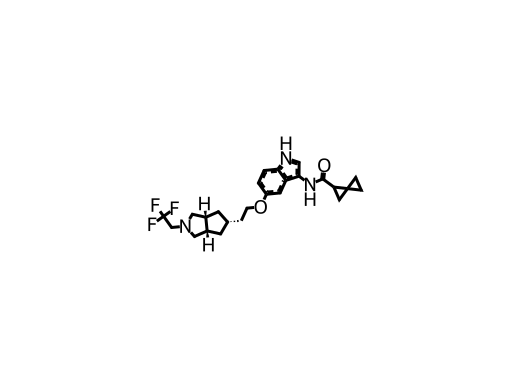 O=C(Nc1c[nH]c2ccc(OCC[C@@H]3C[C@@H]4CN(CC(F)(F)F)C[C@@H]4C3)cc12)C1CC12CC2